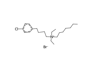 CCCCCCC[N+](CC)(CC)CCCCc1ccc(Cl)cc1.[Br-]